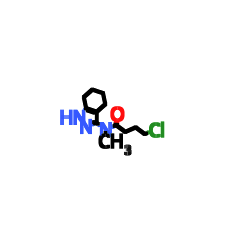 CN(C(=O)CCCCl)c1n[nH]c2c1CCCC2